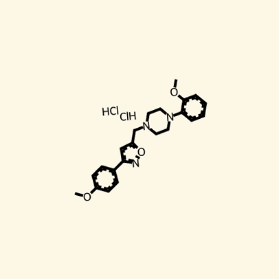 COc1ccc(-c2cc(CN3CCN(c4ccccc4OC)CC3)on2)cc1.Cl.Cl